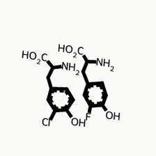 NC(Cc1ccc(O)c(Cl)c1)C(=O)O.NC(Cc1ccc(O)c(F)c1)C(=O)O